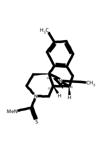 CNC(=S)N1CC[C@]23CCCN(C)[C@H](Cc4ccc(C)cc42)[C@@H]3C1